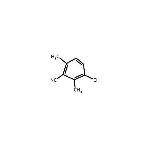 Cc1ccc(Cl)c(C)c1C#N